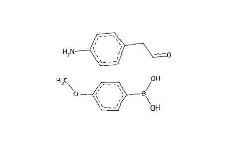 COc1ccc(B(O)O)cc1.Nc1ccc(CC=O)cc1